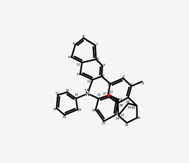 Cc1cc(-c2cc3ccccc3cc2N(c2ccccc2)c2ccccc2)cc2c1C1CCC2C1